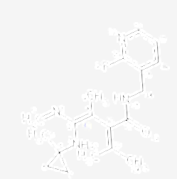 C=N/C(NC1(C)CC1)=C(\C)C(C(=O)NCc1cccnc1F)=C(C)C